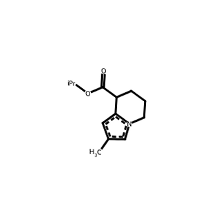 Cc1cc2n(c1)CCCC2C(=O)OC(C)C